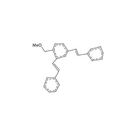 COCc1ccc(C=Cc2ccccc2)cc1C=Cc1ccccc1